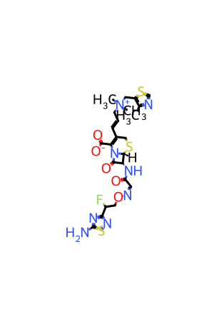 Cc1ncsc1C[N+](C)(C)C/C=C/C1=C(C(=O)[O-])N2C(=O)[C@@H](NC(=O)/C=N\OCC(F)c3nsc(N)n3)[C@H]2SC1